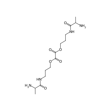 CC(N)C(=O)NCCCOC(=O)C(=O)OCCCNC(=O)C(C)N